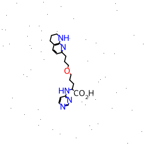 O=C(O)C(CCCOCCCc1ccc2c(n1)NCCC2)Nc1ccncn1